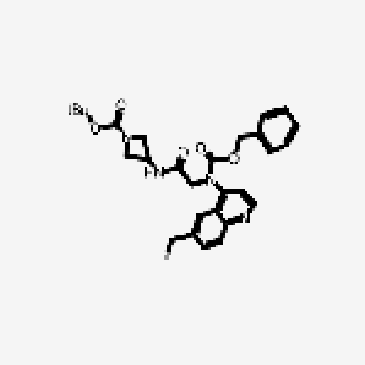 CC(C)(C)OC(=O)N1CC(NC(=O)CN(C(=O)OCc2ccccc2)c2ccnc3ccc(CF)cc23)C1